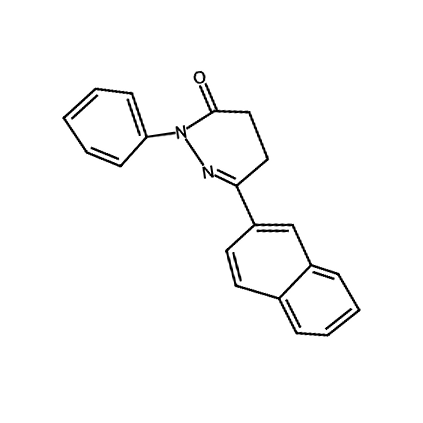 O=C1CCC(c2ccc3ccccc3c2)=NN1c1ccccc1